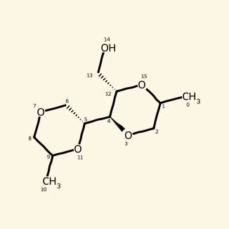 CC1CO[C@@H]([C@H]2COCC(C)O2)[C@H](CO)O1